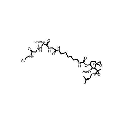 COC1C(OC(=O)NCCCCCCNC(=O)CNC(=O)[C@H](CC(C)C)NNCC(=O)NCC(C)=O)CC[C@]2(CO2)C1C1(C)O[C@@H]1CC=C(C)C